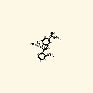 Cc1cccnc1-c1nc2cc(C(=N)N)ccc2[nH]1.Cl.Cl